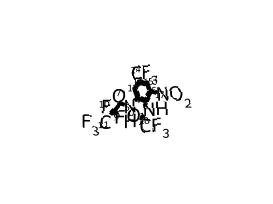 O=C(Nc1c(NC(=O)C(F)(F)C(F)(F)F)cc(C(F)(F)F)cc1[N+](=O)[O-])C(F)(F)F